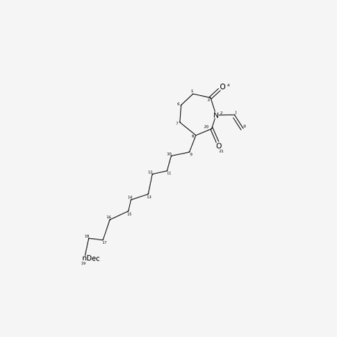 C=CN1C(=O)CCCC(CCCCCCCCCCCCCCCCCCCC)C1=O